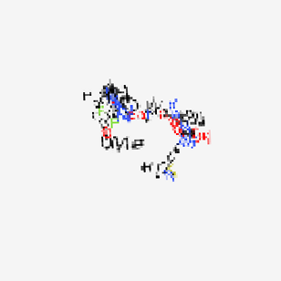 COCOc1cc(-c2c(F)cc3c(N4C[C@H]5CC[C@@](C)(C4)N5C(=O)O)nc(OCC4(CN(C)CCCOCCC(=O)N[C@H](C(=O)N5C[C@H](O)C[C@H]5C(=O)NCc5ccc(-c6scnc6C)cc5)C(C)(C)C)CC4)nc3c2F)c2ccccc2c1